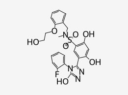 CN(Cc1ccccc1OCCO)S(=O)(=O)c1cc(-c2nnc(O)n2-c2ccccc2F)c(O)cc1O